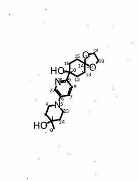 CC1(O)CCN(c2ccc(C3(O)CCC4(CC3)OCCO4)nc2)CC1